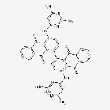 C=C(N)/N=C(\N=C(N)N)Nc1ccc(-c2ccc(Nc3nc(N)nc(N)n3)c3c2C(=O)c2ccccc2C3=O)c2c1C(=O)c1ccccc1C2=O